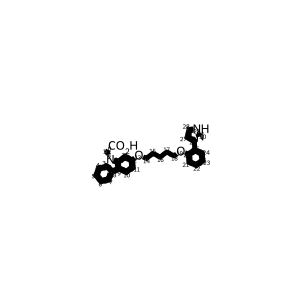 O=C(O)Cn1c2ccccc2c2ccc(OCCCCCOc3ccccc3-c3cc[nH]n3)cc21